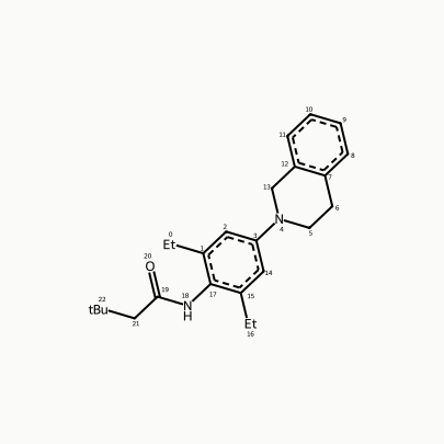 CCc1cc(N2CCc3ccccc3C2)cc(CC)c1NC(=O)CC(C)(C)C